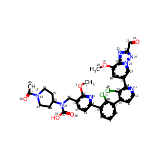 COc1nc(-c2cccc(-c3ccnc(-c4cc(OC)c5nc(C=O)nn5c4)c3Cl)c2Cl)ccc1CN(C(=O)O)C1CCN(C(C)=O)CC1